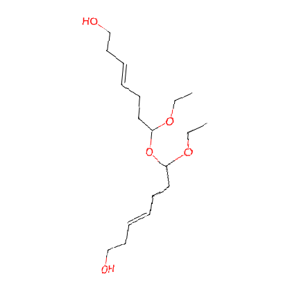 CCOC(CC/C=C/CCO)OC(CC/C=C/CCO)OCC